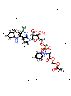 CC(C)C(=O)OCOC(=O)CNP(=O)(COCC1O[C@@H](n2ccc3c(NC4CCCC4)c(C#N)c(Cl)nc32)[C@H](O)[C@@H]1O)Oc1ccccc1